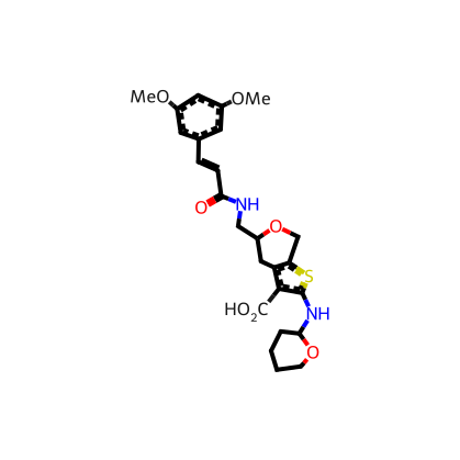 COc1cc(C=CC(=O)NCC2Cc3c(sc(NC4CCCCO4)c3C(=O)O)CO2)cc(OC)c1